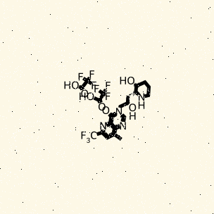 Cc1cc(C(F)(F)F)nc2c(=O)n(CC(O)C[C@H]3NCCC[C@@H]3O)cnc12.O=C(O)C(F)(F)F.O=C(O)C(F)(F)F